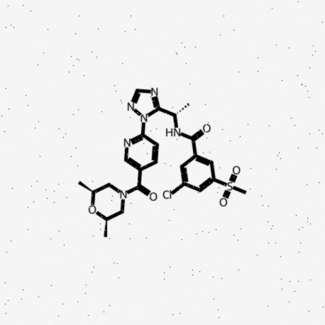 C[C@@H]1CN(C(=O)c2ccc(-n3ncnc3[C@H](C)NC(=O)c3cc(Cl)cc(S(C)(=O)=O)c3)nc2)C[C@H](C)O1